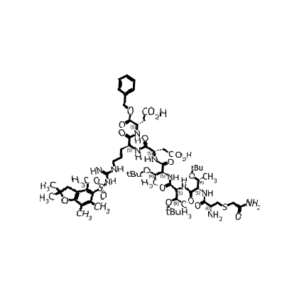 Cc1c(C)c(S(=O)(=O)NC(=N)NCCC[C@H](NC(=O)[C@H](CC(=O)O)NC(=O)[C@@H](NC(=O)[C@@H](NC(=O)[C@@H](NC(=O)[C@@H](N)CSCC(N)=O)[C@@H](C)OC(C)(C)C)[C@@H](C)OC(C)(C)C)[C@@H](C)OC(C)(C)C)C(=O)N[C@@H](CC(=O)O)C(=O)OCc2ccccc2)c(C)c2c1OC(C)(C)C2